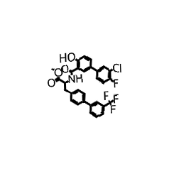 COC(=O)C(Cc1ccc(-c2cccc(C(F)(F)F)c2)cc1)NC(=O)c1cc(-c2ccc(F)c(Cl)c2)ccc1O